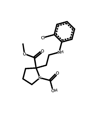 COC(=O)C1(CCNc2ccccc2Cl)CCCN1C(=O)O